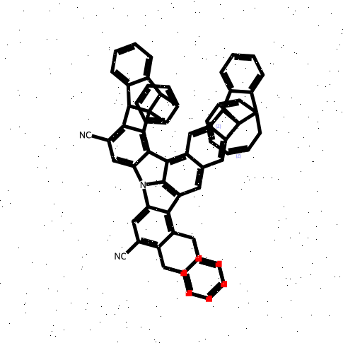 N#Cc1cc2c(c3c1C1c4ccccc4C3c3ccccc31)c1cc3cc4c(cc3c3c5c6c(c(C#N)cc5n2c13)C1c2ccccc2C2c3ccccc3C621)C1c2ccccc2C23C=C(/C=C\C=C/C2)C413